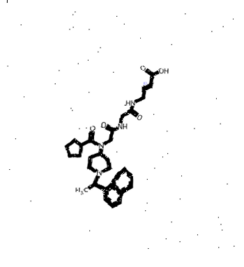 CC(c1cccc2ccccc12)N1CCC(N(CC(=O)NCC(=O)NC/C=C/C(=O)O)C(=O)C2CCCC2)CC1